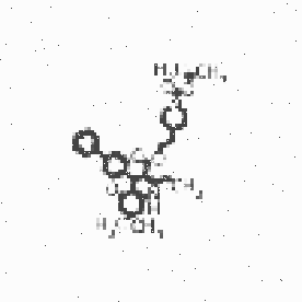 C=C(C)OC(=O)N1CCC(CCOC(=O)C2=C(CC)NC3=C(C(=O)CC(C)(C)C3)C2c2ccc(-c3ccccc3)cc2)CC1